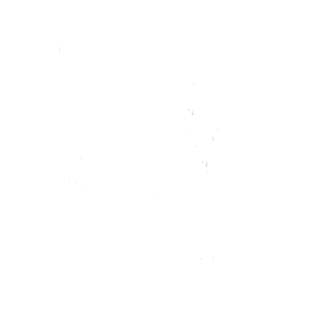 CC(C)c1cccc(C(C)C)c1NC(=O)c1ccc2c3c(Oc4ccc(CCO)cc4)cc(C(=O)O)c4c(C(=O)O)ccc(c5c(Oc6ccc(CCO)cc6)cc(C(=O)Nc6c(C(C)C)cccc6C(C)C)c1c25)c43